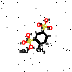 CCCCOS(=O)(=O)c1cc(S([O])(=O)=O)ccc1C